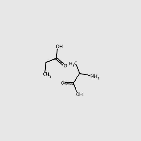 CC(N)C(=O)O.CCC(=O)O